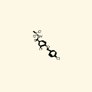 CS(=O)(=O)NC(=O)c1ccc(OCc2ccc(Cl)cc2)c(Cl)c1